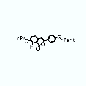 CCCCCOc1ccc(-c2cc3ccc(OCCC)c(F)c3c(=O)o2)cc1